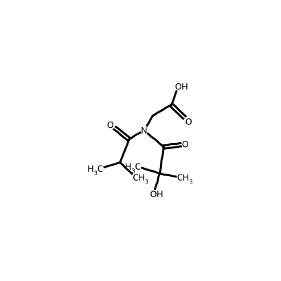 CC(C)C(=O)N(CC(=O)O)C(=O)C(C)(C)O